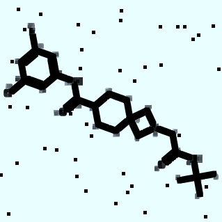 CC(C)(C)NC(=O)CN1CC2(CCC(C(=O)Nc3cc(F)cc(Cl)c3)CC2)C1